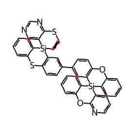 c1ccc2c(c1)Oc1ccc(-c3ccc4c(c3)[Si]3(c5ccccc5S4)c4ccccc4Sc4ncncc43)cc1[Si]21c2ccccc2Oc2ncccc21